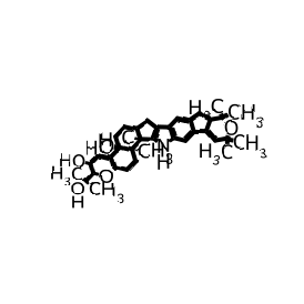 CC1(C)C=C2c3cc4[nH]c5c(c4cc3CC2C(C)(C)O1)CC1CCC2(O)C3=CC(O)C(C(C)(C)O)OC3CC[C@]2(C)[C@@]51C